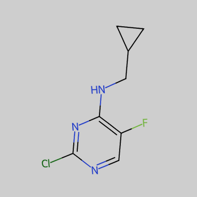 Fc1cnc(Cl)nc1NCC1CC1